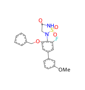 COc1cccc(-c2cc(F)c(N3CC(=O)NS3(=O)=O)c(OCc3ccccc3)c2)c1